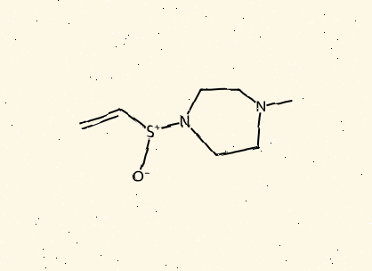 C=C[S+]([O-])N1CCN(C)CC1